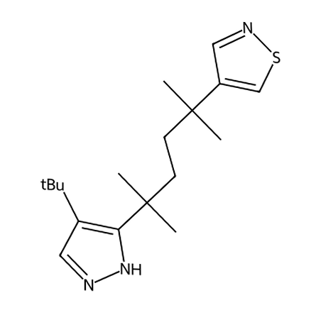 CC(C)(C)c1cn[nH]c1C(C)(C)CCC(C)(C)c1cnsc1